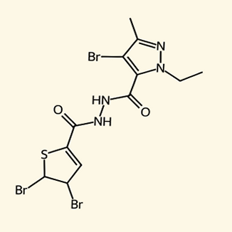 CCn1nc(C)c(Br)c1C(=O)NNC(=O)C1=CC(Br)C(Br)S1